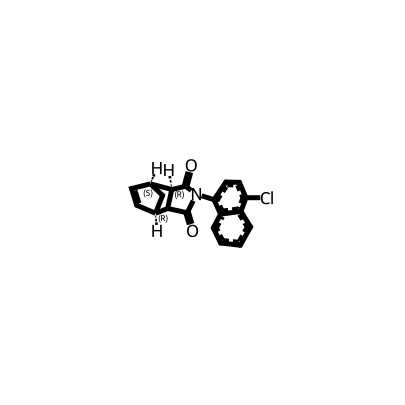 O=C1C2[C@H]3C=C[C@H](C3)[C@H]2C(=O)N1c1ccc(Cl)c2ccccc12